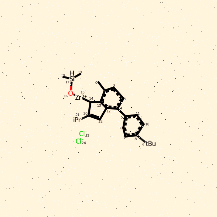 Cc1ccc(-c2ccc(C(C)(C)C)cc2)c2c1[CH]([Zr+2][O][SiH](C)C)C(C(C)C)=C2.[Cl-].[Cl-]